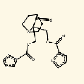 O=C(OCC1(COC(=O)c2cccs2)C(=O)C2CCN1CC2)c1cccs1